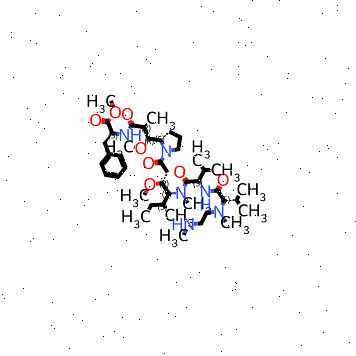 CC[C@H](C)[C@@H]([C@@H](CC(=O)N1CCC[C@H]1[C@H](OC)[C@@H](C)C(=O)N[C@@H](Cc1ccccc1)C(=O)OC)OC)N(C)C(=O)[C@@H](NC(=O)[C@H](C(C)C)N(C)CCNC)C(C)C